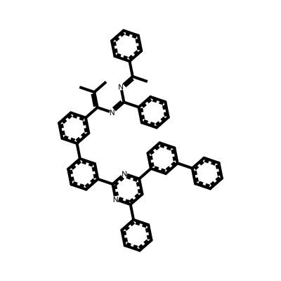 CC(C)=C(/N=C(\N=C(/C)c1ccccc1)c1ccccc1)c1cccc(-c2cccc(-c3nc(-c4ccccc4)cc(-c4cccc(-c5ccccc5)c4)n3)c2)c1